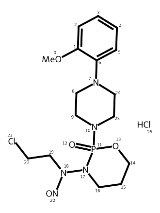 COc1ccccc1N1CCN(P2(=O)OCCCN2N(CCCl)N=O)CC1.Cl